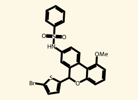 COc1cccc2c1-c1ccc(NS(=O)(=O)c3ccccc3)cc1C(c1ccc(Br)s1)O2